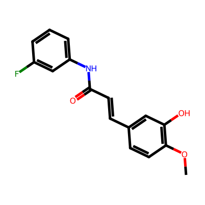 COc1ccc(/C=C/C(=O)Nc2cccc(F)c2)cc1O